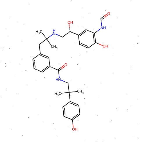 CC(C)(Cc1cccc(C(=O)NCC(C)(C)c2ccc(O)cc2)c1)NC[C@H](O)c1ccc(O)c(NC=O)c1